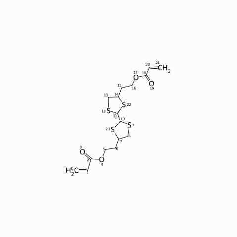 C=CC(=O)OCCC1CSC(C2SCC(CCOC(=O)C=C)S2)S1